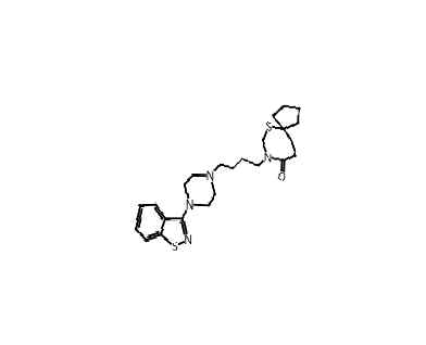 O=C1CCC2(CCCC2)SCN1CCCCN1CCN(c2nsc3ccccc23)CC1